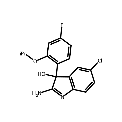 CC(C)Oc1cc(F)ccc1C1(O)C(N)=Nc2ccc(Cl)cc21